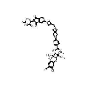 CC1(C)[C@H](NC(=O)c2ccc(N3CC4(CN(CC5CN(c6ccc7c(c6)C(=O)N(C6CCC(=O)NC6=O)C7=O)C5)C4)C3)cc2)C(C)(C)[C@H]1Oc1ccc(C#N)c(Cl)c1